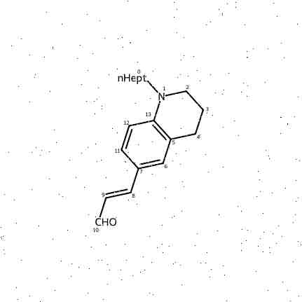 CCCCCCCN1CCCc2cc(/C=C/C=O)ccc21